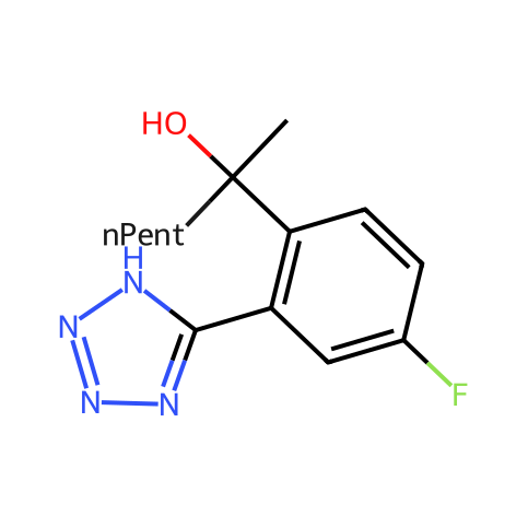 CCCCCC(C)(O)c1ccc(F)cc1-c1nnn[nH]1